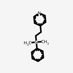 C[Si](C)(CCc1ccncc1)c1ccccc1